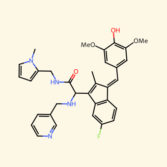 COc1cc(C=C2C(C)=C(C(NCc3cccnc3)C(=O)NCc3cccn3C)c3cc(F)ccc32)cc(OC)c1O